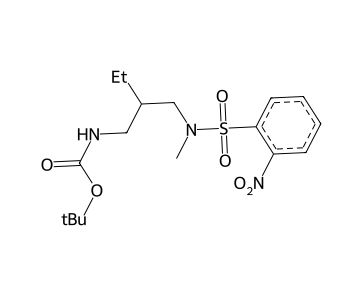 CCC(CNC(=O)OC(C)(C)C)CN(C)S(=O)(=O)c1ccccc1[N+](=O)[O-]